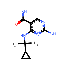 CC(C)(Nc1nc(N)ncc1C(N)=O)C1CC1